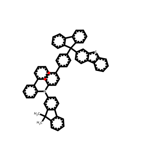 CC1(C)c2ccccc2-c2ccc(N(c3ccc(-c4ccc(C5(c6ccc7c(c6)sc6ccccc67)c6ccccc6-c6ccccc65)cc4)cc3)c3ccccc3-c3ccccc3)cc21